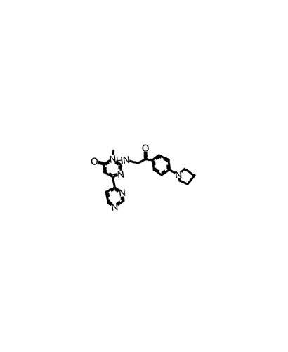 Cn1c(NCC(=O)c2ccc(N3CCCC3)cc2)nc(-c2ccncn2)cc1=O